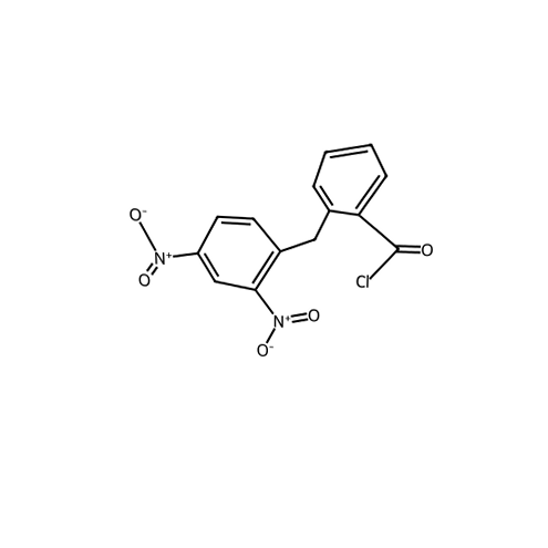 O=C(Cl)c1ccccc1Cc1ccc([N+](=O)[O-])cc1[N+](=O)[O-]